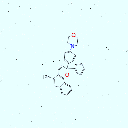 CC(C)c1cc2ccccc2c2c1C=CC(c1ccccc1)(c1ccc(N3CCOCC3)cc1)O2